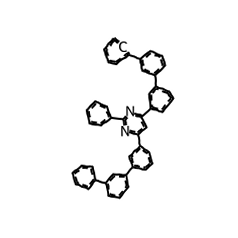 c1ccc(-c2cccc(-c3cccc(-c4cc(-c5cccc(-c6cccc(-c7ccccc7)c6)c5)nc(-c5ccccc5)n4)c3)c2)cc1